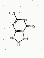 Nc1nc2c(c(=O)[nH]1)NNN2